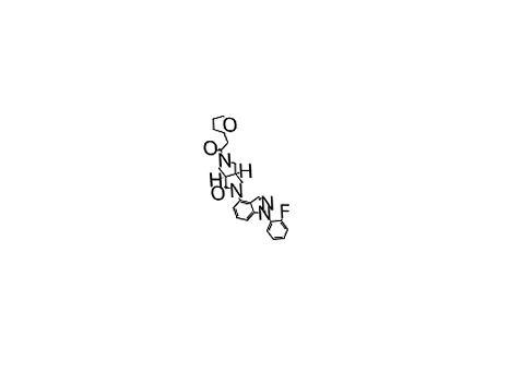 O=C(CC1CCCO1)N1C[C@@H]2CN(c3cccc4c3cnn4-c3ccccc3F)C(=O)[C@H]2C1